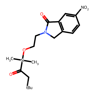 CC(C)(C)CC(=O)[Si](C)(C)OCCN1Cc2ccc([N+](=O)[O-])cc2C1=O